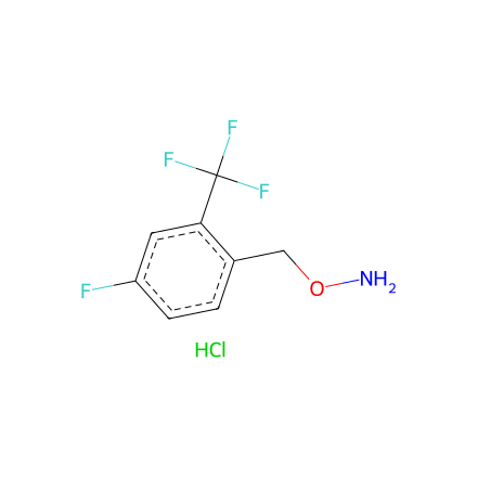 Cl.NOCc1ccc(F)cc1C(F)(F)F